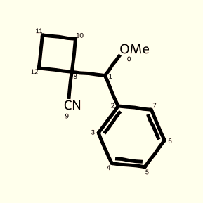 COC(c1ccccc1)C1(C#N)CCC1